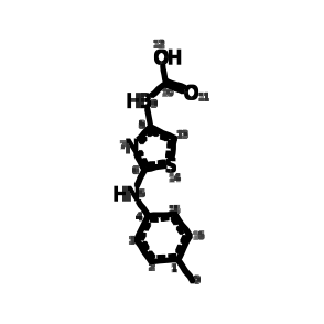 Cc1ccc(Nc2nc(BC(=O)O)cs2)cc1